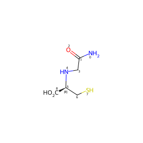 NC(=O)CN[C@@H](CS)C(=O)O